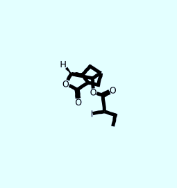 CCC(I)C(=O)OC1C2CC3C(=O)O[C@@H]1C3C2